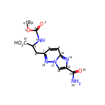 CC(C)(C)OC(=O)NC(Cc1ccc2nc(C(N)=O)cn2n1)C(=O)O